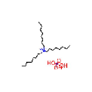 CCCCCCCC[N+](C)(CCCCCCCC)CCCCCCCC.O=P(O)(O)O